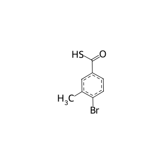 Cc1cc(C(=O)S)ccc1Br